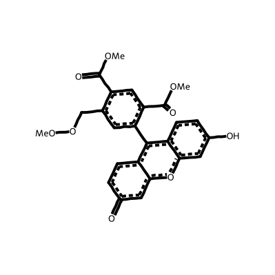 COOCc1cc(-c2c3ccc(=O)cc-3oc3cc(O)ccc23)c(C(=O)OC)cc1C(=O)OC